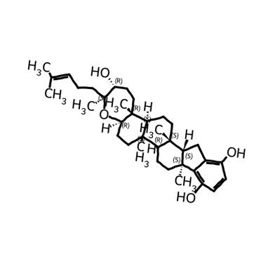 CC(C)=CCC[C@]1(C)O[C@@H]2CC[C@@]3(C)[C@@H]4CC[C@]5(C)c6c(O)ccc(O)c6C[C@H]5[C@@]4(C)CC[C@@H]3[C@@]2(C)CC[C@H]1O